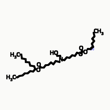 CCCCCC/C=C\COC(=O)OCCCCCCN(CCO)CCCCCCCC(=O)OC(CCCCCCCC)CCCCCCCC